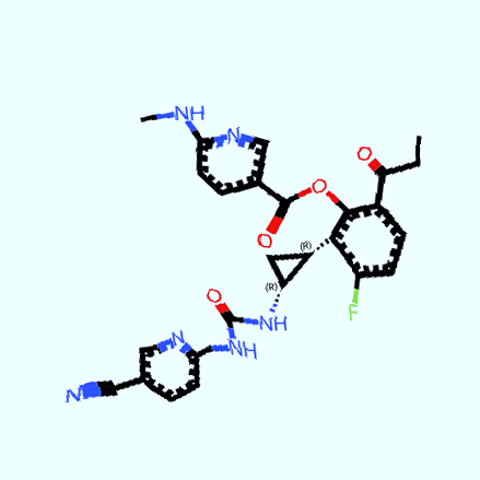 CCC(=O)c1ccc(F)c([C@H]2C[C@H]2NC(=O)Nc2ccc(C#N)cn2)c1OC(=O)c1ccc(NC)nc1